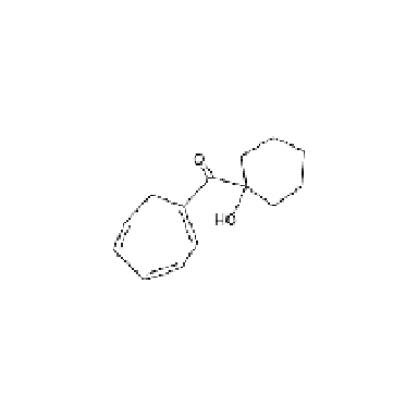 O=C(C1=CC=CC=CC1)C1(O)CCCCC1